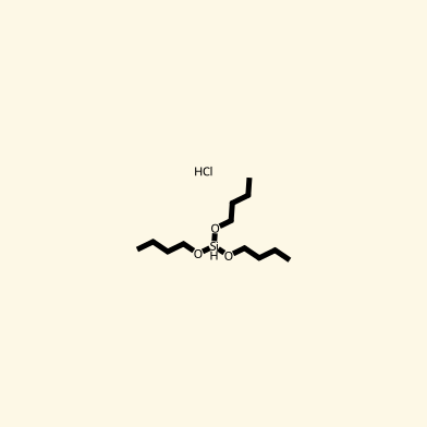 CCCCO[SiH](OCCCC)OCCCC.Cl